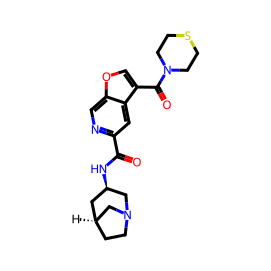 O=C(N[C@@H]1C[C@@H]2CCN(C2)C1)c1cc2c(C(=O)N3CCSCC3)coc2cn1